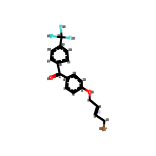 O=C(c1ccc(OC/C=C/CBr)cc1)c1ccc(C(F)(F)F)cc1